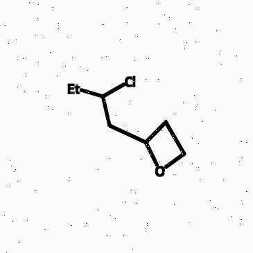 CCC(Cl)CC1CCO1